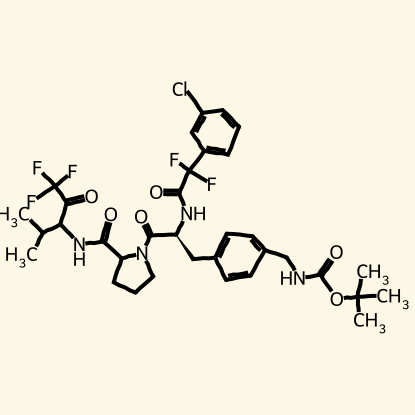 CC(C)C(NC(=O)C1CCCN1C(=O)[C@H](Cc1ccc(CNC(=O)OC(C)(C)C)cc1)NC(=O)C(F)(F)c1cccc(Cl)c1)C(=O)C(F)(F)F